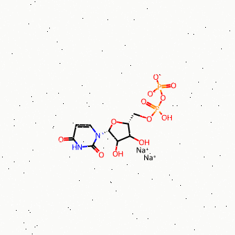 O=c1ccn([C@@H]2O[C@H](COP(=O)(O)OP(=O)([O-])[O-])C(O)C2O)c(=O)[nH]1.[Na+].[Na+]